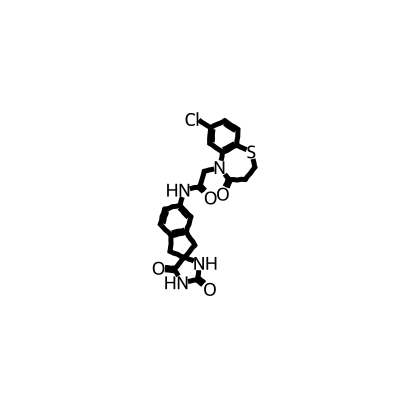 O=C(CN1C(=O)CCSc2ccc(Cl)cc21)Nc1ccc2c(c1)CC1(C2)NC(=O)NC1=O